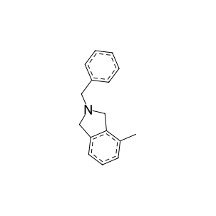 Cc1cccc2c1CN(Cc1ccccc1)C2